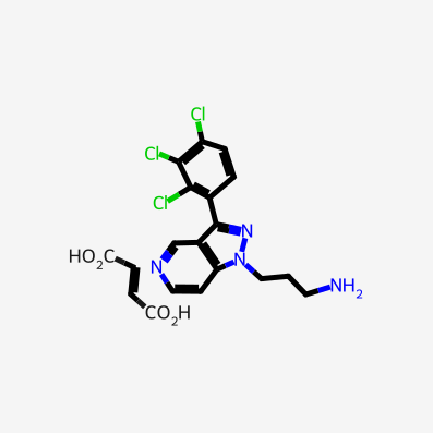 NCCCn1nc(-c2ccc(Cl)c(Cl)c2Cl)c2cnccc21.O=C(O)/C=C/C(=O)O